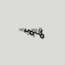 CC(C)(O)c1cc2cc(C(O)CC3c4ccccc4-c4cncn43)c(F)cc2o1